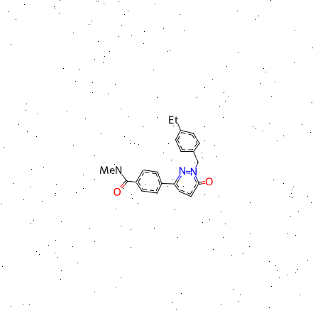 CCc1ccc(Cn2nc(-c3ccc(C(=O)NC)cc3)ccc2=O)cc1